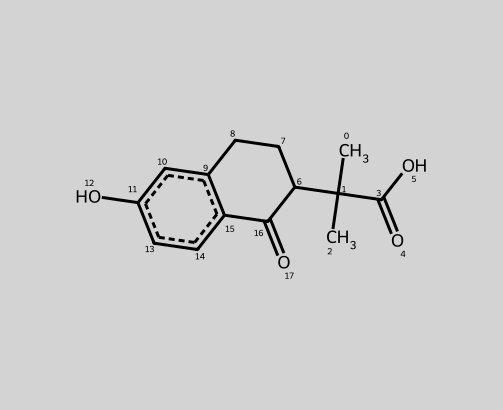 CC(C)(C(=O)O)C1CCc2cc(O)ccc2C1=O